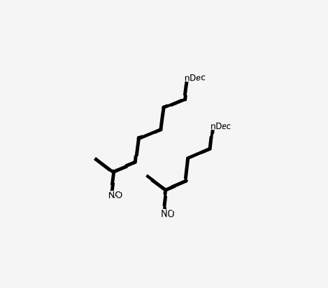 CCCCCCCCCCCCCC(C)N=O.CCCCCCCCCCCCCCCC(C)N=O